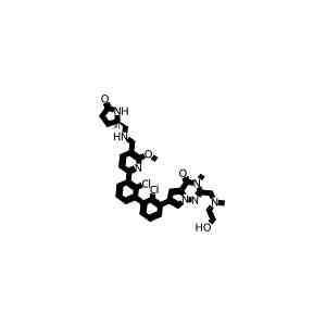 COc1nc(-c2cccc(-c3cccc(-c4cc5c(=O)n(C)c(CN(C)CCO)nn5c4)c3Cl)c2Cl)ccc1CNC[C@H]1CCC(=O)N1